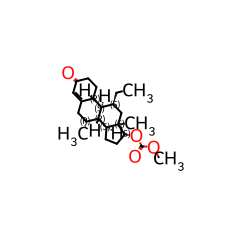 CC[C@H]1C[C@]2(C)[C@@H](OC(=O)OC)CC[C@H]2[C@H]2[C@H]1[C@H]1CCC(=O)C=C1C[C@H]2C